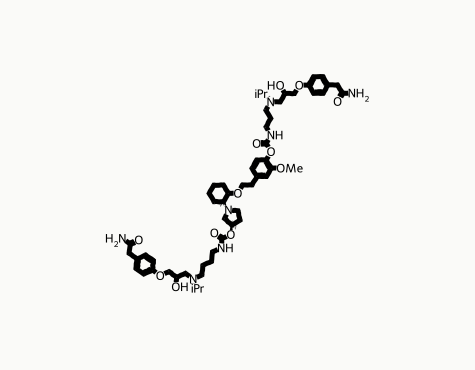 COc1cc(CCOC2CCCC[C@H]2N2CC[C@@H](OC(=O)NCCCCN(CC(O)COc3ccc(CC(N)=O)cc3)C(C)C)C2)ccc1OC(=O)NCCCN(CC(O)COc1ccc(CC(N)=O)cc1)C(C)C